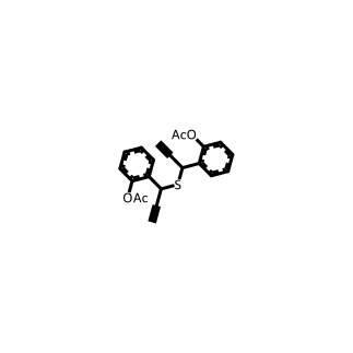 C#CC(SC(C#C)c1ccccc1OC(C)=O)c1ccccc1OC(C)=O